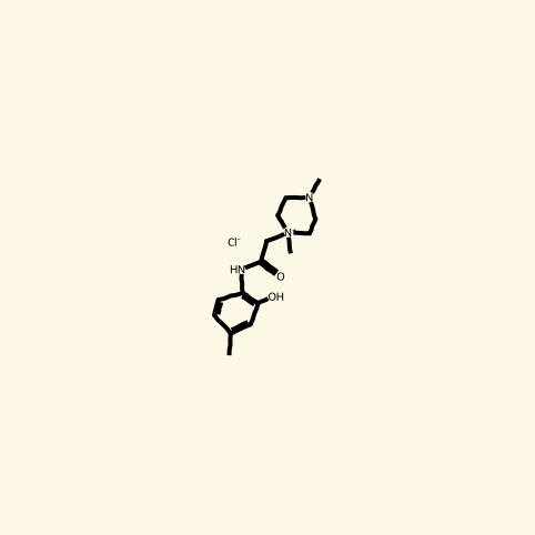 Cc1ccc(NC(=O)C[N+]2(C)CCN(C)CC2)c(O)c1.[Cl-]